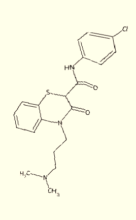 CN(C)CCCN1C(=O)C(C(=O)Nc2ccc(Cl)cc2)Sc2ccccc21